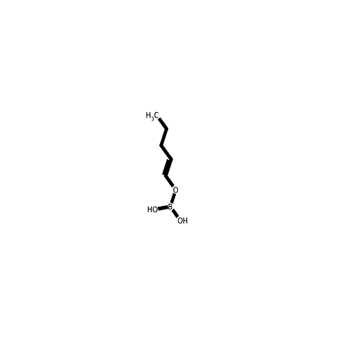 CCC/C=C/OB(O)O